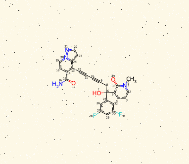 Cn1cccc(C(O)(CC#CC#Cc2c(C(N)=O)ccn3nccc23)c2cc(F)cc(F)c2)c1=O